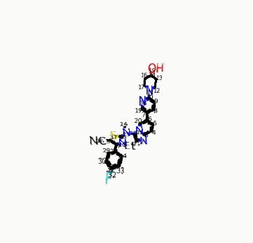 CCc1nc2ccc(-c3ccc(N4CCC(O)CC4)nc3)cn2c1N(C)c1nc(-c2ccc(F)cc2)c(C#N)s1